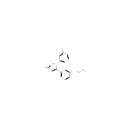 O=C(O)c1cc(-c2cccc(OCCO)c2)n(-c2cccc(Cl)c2)n1